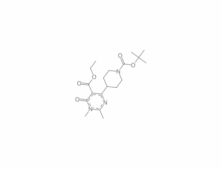 CCOC(=O)c1c(C2CCN(C(=O)OC(C)(C)C)CC2)nc(C)n(C)c1=O